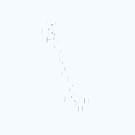 CC(C)NCCOCCOCCOCCOCC(F)CNC(=O)S